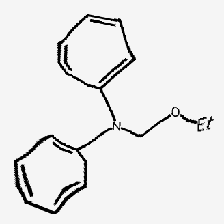 CCOCN(c1ccccc1)c1ccccc1